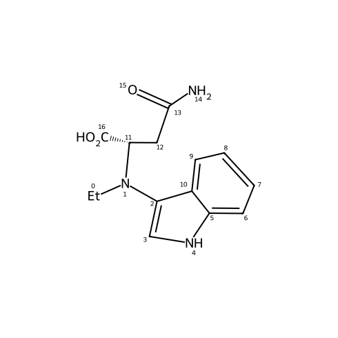 CCN(c1c[nH]c2ccccc12)[C@@H](CC(N)=O)C(=O)O